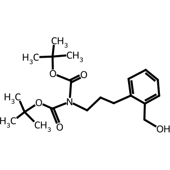 CC(C)(C)OC(=O)N(CCCc1ccccc1CO)C(=O)OC(C)(C)C